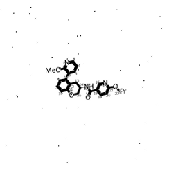 COc1ncccc1-c1cccc2c1C[C@H](NC(=O)c1ccc(OC(C)C)nc1)CO2